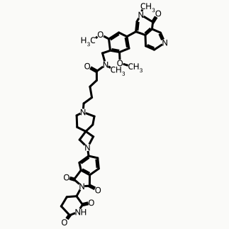 COc1cc(-c2cn(C)c(=O)c3cnccc23)cc(OC)c1CN(C)C(=O)CCCCN1CCC2(CC1)CN(c1ccc3c(c1)C(=O)N(C1CCC(=O)NC1=O)C3=O)C2